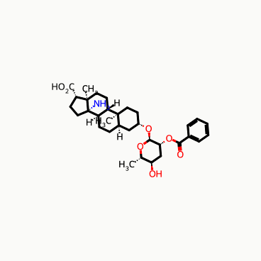 C[C@@H]1O[C@@H](O[C@H]2CC[C@@]3(C)[C@H](CC[C@@H]4[C@@H]3CC[C@]3(C)[C@@H](C(=O)O)CC[C@]43N)C2)[C@H](OC(=O)c2ccccc2)C[C@H]1O